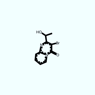 CC(O)c1nc2ccccn2c(=O)c1Br